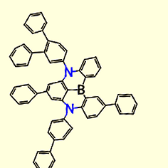 c1ccc(-c2ccc(N3c4ccc(-c5ccccc5)cc4B4c5ccccc5N(c5ccc(-c6ccccc6)c(-c6ccccc6)c5)c5cc(-c6ccccc6)cc3c54)cc2)cc1